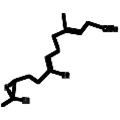 CCC(=CCCC(C)=CCOC)CCC1SC1(C)CC